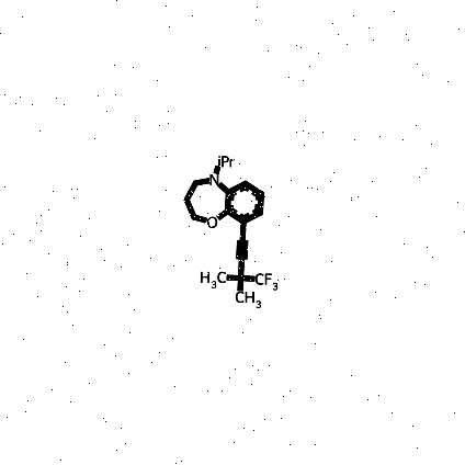 CC(C)N1CCCOc2c(C#CC(C)(C)C(F)(F)F)cccc21